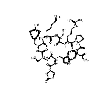 CC(C)C[C@H](NC(=O)[C@@H](CCCCN)NC(=O)[C@H](Cc1ccc(O)cc1)NC(=O)[C@H](CO)NC(=O)[C@H](Cc1c[nH]c2ccccc12)NC(=O)[C@@H]1CCC(=O)N1)C(=O)N[C@@H](CCCNC(=N)N)C(=O)N1CCC[C@H]1C(=O)NCC(N)=O